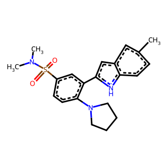 Cc1ccc2[nH]c(-c3cc(S(=O)(=O)N(C)C)ccc3N3CCCC3)cc2c1